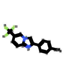 Cc1ccc(-c2cn3cc(C(F)(F)F)ccc3n2)cc1